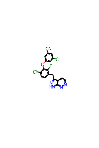 N#Cc1cc(Cl)cc(Oc2c(Cl)ccc(Cc3n[nH]c4nnccc34)c2F)c1